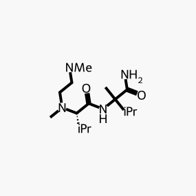 CNCCN(C)[C@H](C(=O)NC(C)(C(N)=O)C(C)C)C(C)C